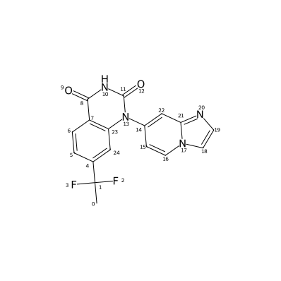 CC(F)(F)c1ccc2c(=O)[nH]c(=O)n(-c3ccn4ccnc4c3)c2c1